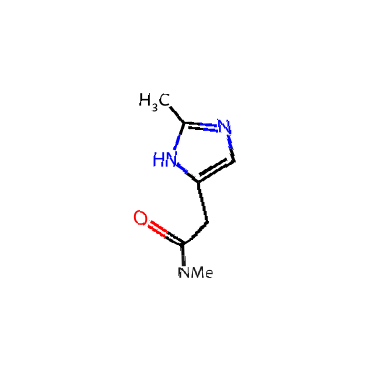 CNC(=O)Cc1cnc(C)[nH]1